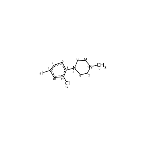 CN1CCN(c2ccc(I)cc2Cl)CC1